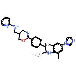 CCc1cc(-n2ccnc2)cc(C)c1NC(Cc1ccc(C2=NCC(CNc3ccccn3)CO2)cc1)C(=O)O